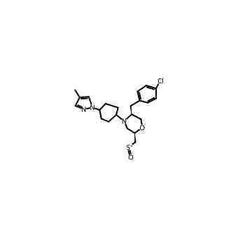 Cc1cnn(C2CCC(N3C[C@H](C[S+]=O)OC[C@@H]3Cc3ccc(Cl)cc3)CC2)c1